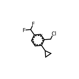 FC(F)c1[c]c(CCl)c(C2CC2)cc1